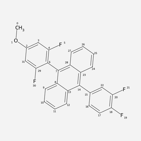 COc1cc(F)c(-c2c3ccccc3c(-c3ccc(F)c(F)c3)c3ccccc23)c(F)c1